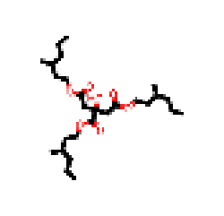 CCCC(C)CCOC(=O)CC(O)(CC(=O)OCCC(C)CCC)C(=O)OCCC(C)CCC